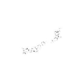 CC1(C)[C@H](NC(=O)c2ccc(N3CCN(CCCCCOc4ccc5c(c4)C(=O)N(C4CCC(=O)NC4=O)C5=O)CC3)cc2)C(C)(C)[C@H]1Oc1ccc(C#N)c(C(F)(F)F)c1